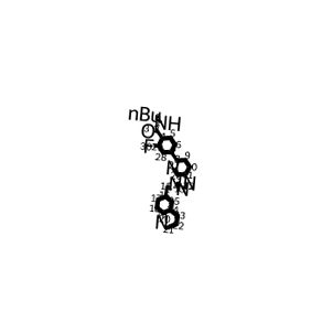 CCCCNC(=O)c1ccc(-c2ccc3nnn(Cc4ccc5ncccc5c4)c3n2)cc1F